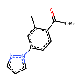 COC(=O)c1ccc(-n2cccn2)cc1C